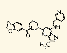 Cc1cnn2c(NCc3cccnc3)cc(C3CCCN(C(=O)c4ccc5c(c4)OCO5)C3)nc12